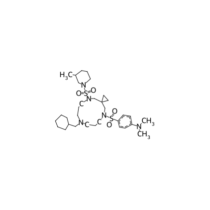 CC1CCCN(S(=O)(=O)N2CCCN(CC3CCCCC3)CCCN(S(=O)(=O)c3ccc(N(C)C)cc3)CC3(CC3)C2)C1